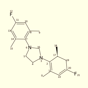 CC1=C(N2CCN(c3c(C)cc(F)cc3C)C2)[C@@H](C)CC(F)=C1